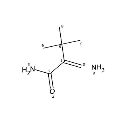 C=C(C(N)=O)C(C)(C)C.N